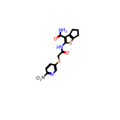 NC(=O)c1c(NC(=O)CSc2ccc([N+](=O)[O-])nc2)sc2c1CCC2